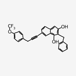 Oc1cc2ccc(C#CCc3ccc(OC(F)(F)F)cc3)cc2c(O)c1Cc1ccccc1